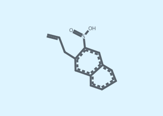 C=CCc1cc2ccccc2cc1S(=O)O